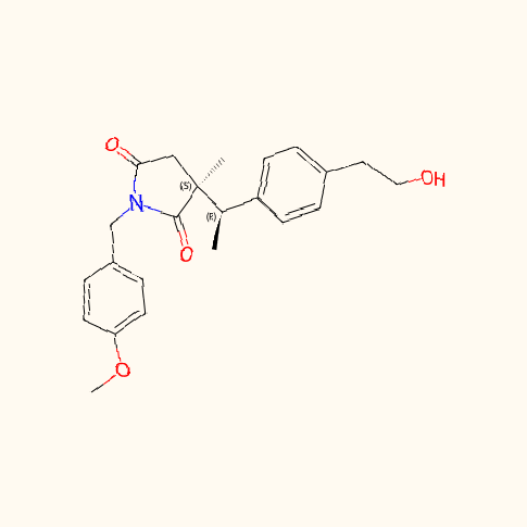 COc1ccc(CN2C(=O)C[C@@](C)([C@H](C)c3ccc(CCO)cc3)C2=O)cc1